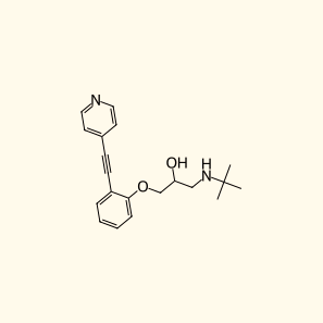 CC(C)(C)NCC(O)COc1ccccc1C#Cc1ccncc1